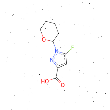 O=C(O)c1cc(F)n(C2CCCCO2)n1